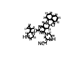 N#CC[C@H]1CN(c2nc(OCC3(C4CNCCO4)CC3)nc3c2CCN(c2cccc4cccc(Cl)c24)C3)CCN1